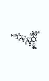 CNS(=O)(=O)c1ccc(OCC(C)(C)C)c(C(=O)N2CCN(c3ccc(C#N)cc3)CC2)c1